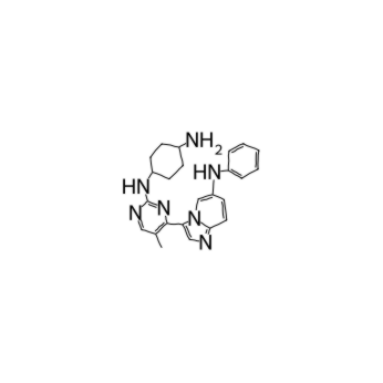 Cc1cnc(NC2CCC(N)CC2)nc1-c1cnc2ccc(Nc3ccccc3)cn12